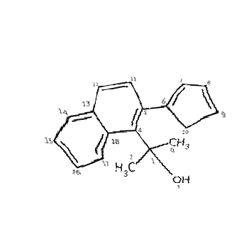 CC(C)(O)c1c(C2=CC=CC2)ccc2ccccc12